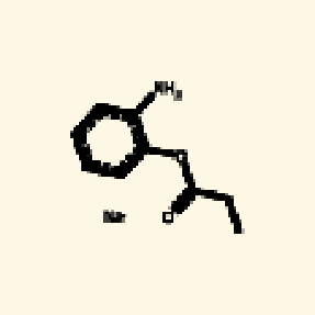 CCC(=O)Oc1ccccc1N.[Na]